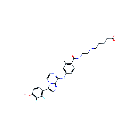 COc1ccc(-c2cnc3c(Nc4ccc(C(=O)NCCNCCC[C@H](N)C(=O)O)c(C)c4)nccn23)c(F)c1F